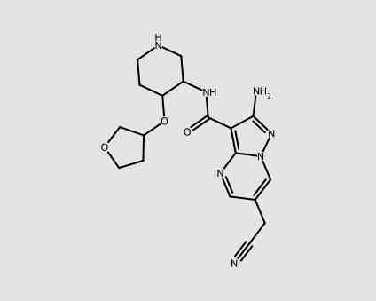 N#CCc1cnc2c(C(=O)NC3CNCCC3OC3CCOC3)c(N)nn2c1